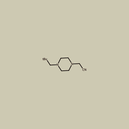 CC(C)(C)CN1CCN(CC#N)CC1